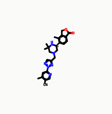 Cc1cc(-n2ncc(CN3C[C@H](c4ccc5c(c4C)COC5=O)NC(C)(C)C3)n2)ncc1C#N